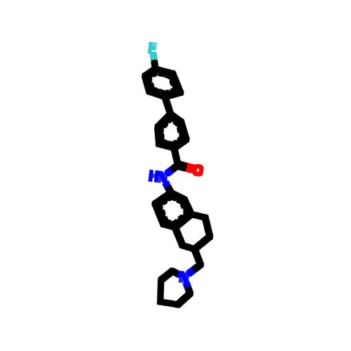 O=C(Nc1ccc2c(c1)CCC(CN1CCCCC1)C2)c1ccc(-c2ccc(F)cc2)cc1